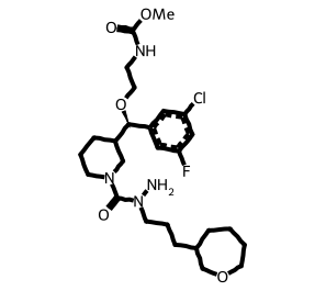 COC(=O)NCCO[C@@H](c1cc(F)cc(Cl)c1)C1CCCN(C(=O)N(N)CCCC2CCCCOC2)C1